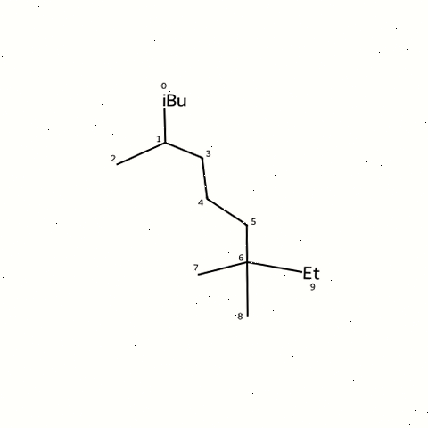 CCC(C)C(C)CCCC(C)(C)CC